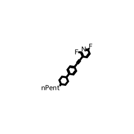 CCCCCC1CCC(c2ccc(C#Cc3ccc(F)nc3F)cc2)CC1